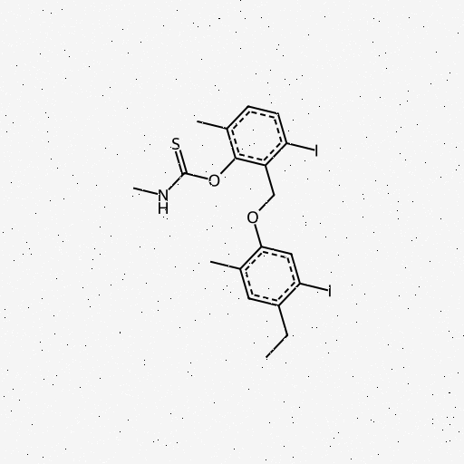 CCc1cc(C)c(OCc2c(I)ccc(C)c2OC(=S)NC)cc1I